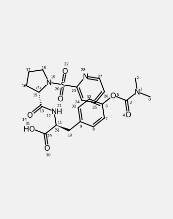 CN(C)C(=O)Oc1ccc(C[C@H](NC(=O)[C@@H]2CCCN2S(=O)(=O)c2ccccn2)C(=O)O)cc1